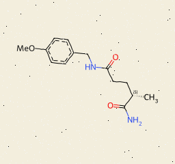 COc1ccc(CNC(=O)[CH]C[C@H](C)C(N)=O)cc1